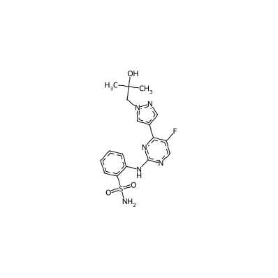 CC(C)(O)Cn1cc(-c2nc(Nc3ccccc3S(N)(=O)=O)ncc2F)cn1